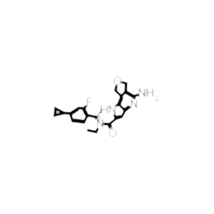 CCN(C(=O)c1cc2nc(N)c3c(c2[nH]1)COC3)[C@H](C)c1ccc(C2CC2)cc1F